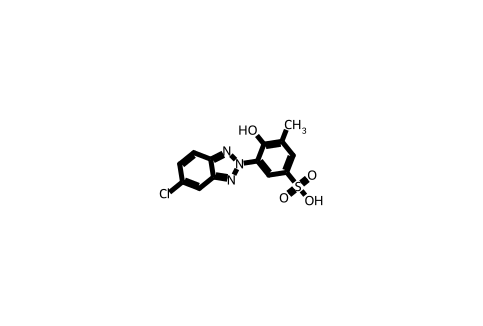 Cc1cc(S(=O)(=O)O)cc(-n2nc3ccc(Cl)cc3n2)c1O